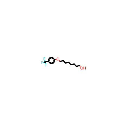 OCCCCCCCCOc1ccc(C(F)(F)F)cc1